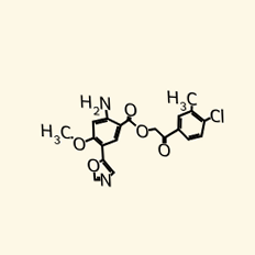 COc1cc(N)c(C(=O)OCC(=O)c2ccc(Cl)c(C)c2)cc1-c1cnco1